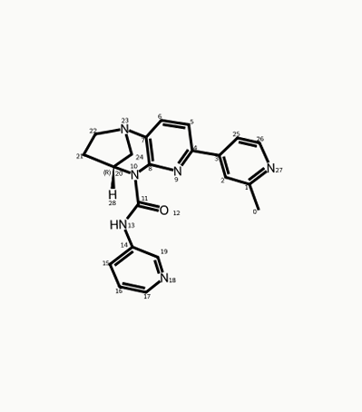 Cc1cc(-c2ccc3c(n2)N(C(=O)Nc2cccnc2)[C@@H]2CCN3C2)ccn1